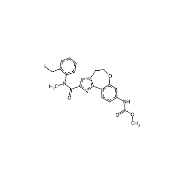 COC(=O)Nc1ccc2c(c1)OCCc1cc(C(=O)N(C)c3ccccc3CI)sc1-2